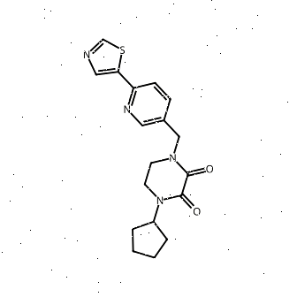 O=C1C(=O)N(C2CCCC2)CCN1Cc1ccc(-c2cncs2)nc1